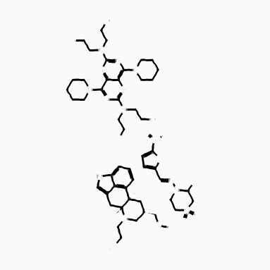 CC1CS(=O)(=O)CCN1N=Cc1ccc([N+](=O)[O-])o1.CCCN1C[C@H](CSC)C[C@@H]2c3cccc4[nH]cc(c34)C[C@H]21.OCCN(CCO)c1nc(N2CCCCC2)c2nc(N(CCO)CCO)nc(N3CCCCC3)c2n1